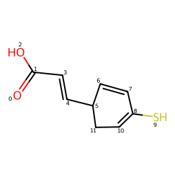 O=C(O)C=CC1C=CC(S)=CC1